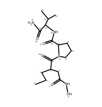 CCCC(CC(=O)NO)C(=O)N1CCCC1C(=O)NC(C(N)=O)C(C)C